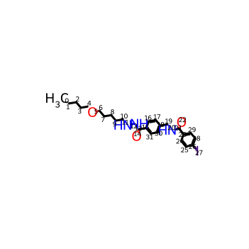 CCCCCOCCCCCNNC(=O)c1ccc(CNC(=O)c2ccc(I)cc2)cc1